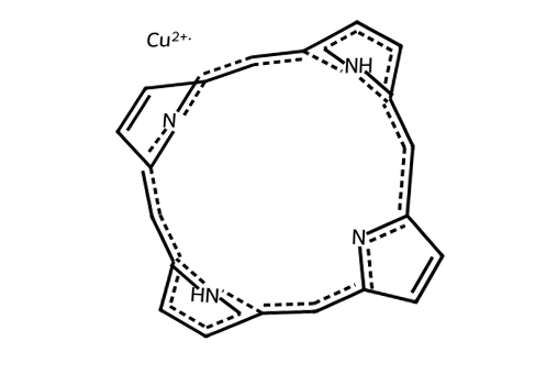 C1=Cc2cc3ccc(cc4nc(cc5ccc(cc1n2)[nH]5)C=C4)[nH]3.[Cu+2]